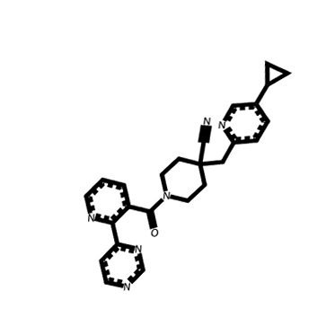 N#CC1(Cc2ccc(C3CC3)cn2)CCN(C(=O)c2cccnc2-c2ccncn2)CC1